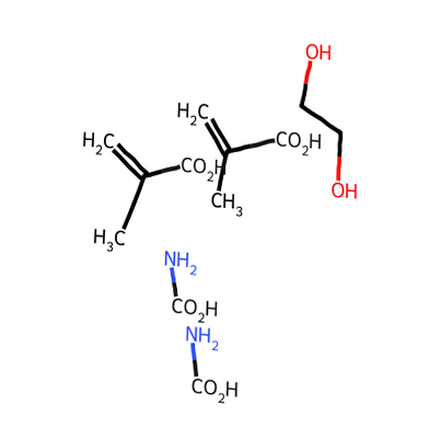 C=C(C)C(=O)O.C=C(C)C(=O)O.NC(=O)O.NC(=O)O.OCCO